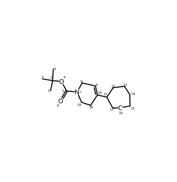 CC(C)(C)OC(=O)N1CC=C(C2CCCCCC2)CC1